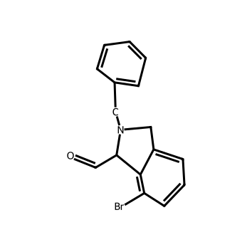 O=CC1c2c(Br)cccc2CN1Cc1ccccc1